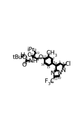 Cc1cc(-c2cc(Cl)nn3cc(C(F)(F)F)nc23)ccc1OCC(C)(CC(C)C)NC(=O)OC(C)(C)C